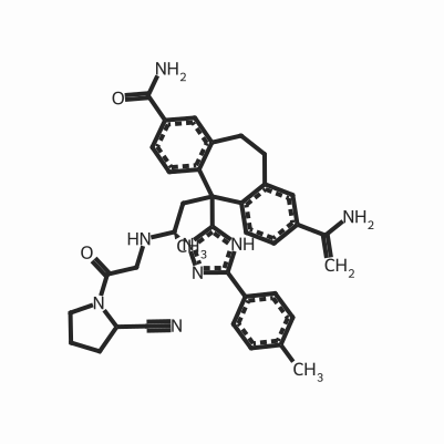 C=C(N)c1ccc2c(c1)CCc1cc(C(N)=O)ccc1C2(C[C@@H](C)NCC(=O)N1CCCC1C#N)c1nnc(-c2ccc(C)cc2)[nH]1